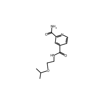 CC(C)OCCNC(=O)c1[c]c(C(N)=O)ncc1